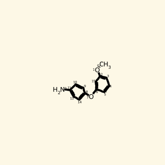 COc1cc[c]c(Oc2ccc(N)cc2)c1